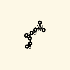 c1ccc(-c2nc(-c3ccccc3)nc(-c3ccc4c(c3)oc3cc(-n5c6ccccc6c6cc(-c7ccc8sc9ccccc9c8c7)ccc65)ccc34)n2)cc1